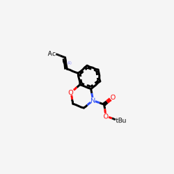 CC(=O)/C=C/c1cccc2c1OCCN2C(=O)OC(C)(C)C